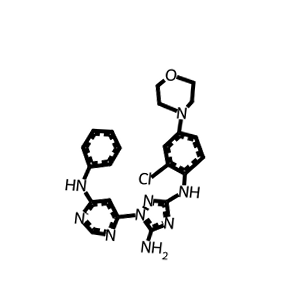 Nc1nc(Nc2ccc(N3CCOCC3)cc2Cl)nn1-c1cc(Nc2ccccc2)ncn1